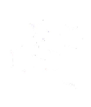 C=CCOC(C(Cc1ccccc1)n1cncn1)C1(C)COCOC1